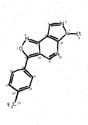 CCn1ncc2c3noc(-c4ccc(C(F)(F)F)cc4)c3cnc21